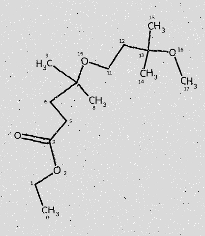 CCOC(=O)CCC(C)(C)OCCC(C)(C)OC